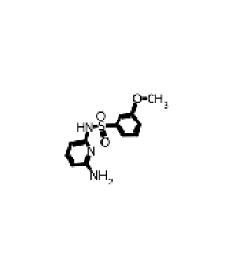 COc1cccc(S(=O)(=O)Nc2cccc(N)n2)c1